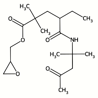 CCC(CC(C)(C)C(=O)OCC1CO1)C(=O)NC(C)(C)CC(C)=O